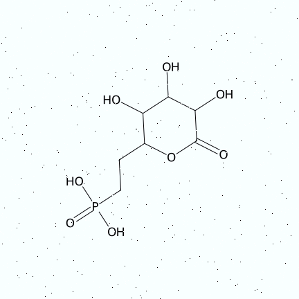 O=C1OC(CCP(=O)(O)O)C(O)C(O)C1O